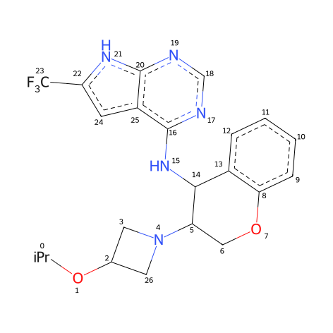 CC(C)OC1CN(C2COc3ccccc3C2Nc2ncnc3[nH]c(C(F)(F)F)cc23)C1